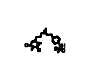 CN(CCCc1cc(=O)n(C)c(=O)n1C)CCc1ccc(NS(C)(=O)=O)cc1